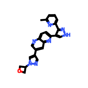 Cc1cccc(-c2n[nH]cc2-c2ccc3ncc(-c4cnn(C5COC5)c4)cc3n2)n1